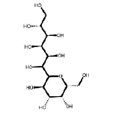 OC[C@@H](O)[C@@H](O)[C@H](O)[C@@H](O)C(O)C1O[C@H](CO)[C@H](O)[C@H](O)[C@H]1O